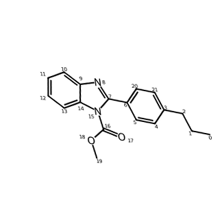 CCCc1ccc(-c2nc3ccccc3n2C(=O)OC)cc1